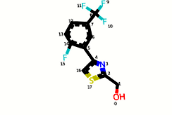 OCc1nc(-c2cc(C(F)(F)F)ccc2F)cs1